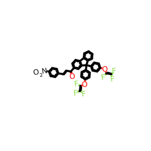 O=C(C=Cc1ccc([N+](=O)[O-])cc1)c1ccc2c(c1)C(c1ccc(OC(F)=C(F)F)cc1)(c1ccc(OC(F)=C(F)F)cc1)c1ccccc1-2